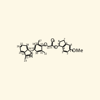 COc1ccc2c(c1)CCC2OC(=O)COc1c(C)cc([SH]2C=C(C)c3ccccc32)cc1C